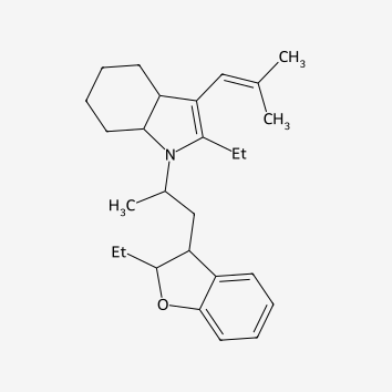 CCC1=C(C=C(C)C)C2CCCCC2N1C(C)CC1c2ccccc2OC1CC